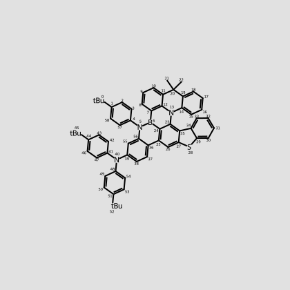 CC(C)(C)c1ccc(N2B3c4cccc5c4N(c4ccccc4C5(C)C)c4c3c(cc3sc5ccccc5c43)-c3ccc(N(c4ccc(C(C)(C)C)cc4)c4ccc(C(C)(C)C)cc4)cc32)cc1